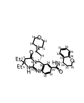 CCC1(CC)CC(=O)N([C@H](CCN2CCOCC2)c2cccc(C(=O)N[C@H]3CCOc4ccccc43)c2)C(=N)N1